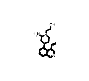 C=Cc1cncc2cccc(C3CCN(CCO)C(N)C3)c12